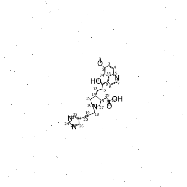 COc1ccc2nccc([C@H](O)CC[C@@H]3CCN(CC#Cc4cncnc4)C[C@@H]3CC(=O)O)c2c1